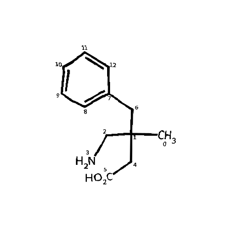 CC(CN)(CC(=O)O)Cc1ccccc1